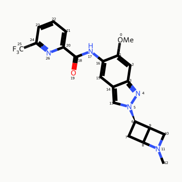 COc1cc2nn([C@@H]3CC4C3CN4C)cc2cc1NC(=O)c1cccc(C(F)(F)F)n1